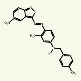 CCN(Cc1ccc(C)cc1)c1ccc(N=Nc2snc3ccc([N+](=O)[O-])cc23)c(C)c1